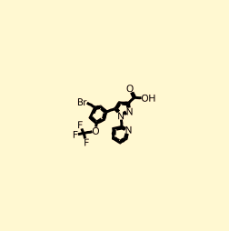 O=C(O)c1cc(-c2cc(Br)cc(OC(F)(F)F)c2)n(-c2ccccn2)n1